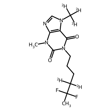 [2H]C([2H])([2H])n1cnc2c1c(=O)n(CCCC([2H])([2H])C(C)(F)F)c(=O)n2C